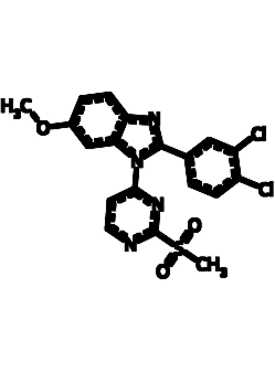 COc1ccc2nc(-c3ccc(Cl)c(Cl)c3)n(-c3ccnc(S(C)(=O)=O)n3)c2c1